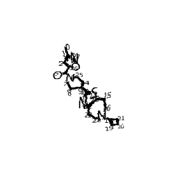 Cc1cc(C(=O)N2CCC(c3nc4c(s3)CCN(C3=CC=C3)CC4)CC2)on1